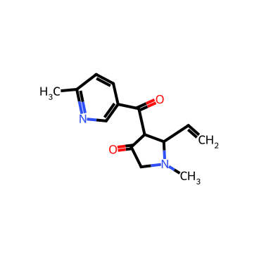 C=CC1C(C(=O)c2ccc(C)nc2)C(=O)CN1C